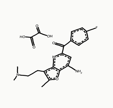 Cc1oc2c(N)cc(C(=O)c3ccc(F)cc3)nc2c1CCN(C)C.O=C(O)C(=O)O